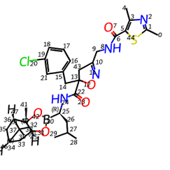 Cc1nc(C)c(C(=O)NCC2=NOC(Cc3cccc(Cl)c3)(C(=O)N[C@@H](CC(C)C)B3O[C@@H]4C[C@@H]5C[C@@H](C5(C)C)[C@]4(C)O3)C2)s1